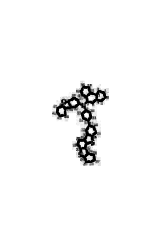 c1ccc2c(c1)cc(N(c1ccc(-c3ccc4sc5c(ccc6sc7ccccc7c65)c4c3)cc1)c1ccc3oc4ccccc4c3c1)c1ccccc12